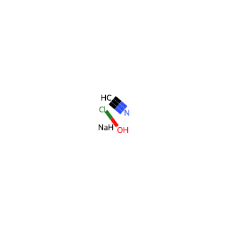 C#N.OCl.[NaH]